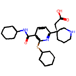 O=C(O)C[C@]1(c2ccc(C(=O)NC3CCCCC3)c(SC3CCCCC3)n2)CCCNC1